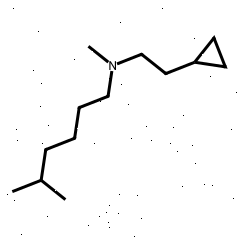 CC(C)CCCCN(C)CCC1CC1